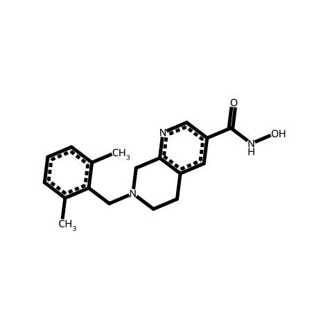 Cc1cccc(C)c1CN1CCc2cc(C(=O)NO)cnc2C1